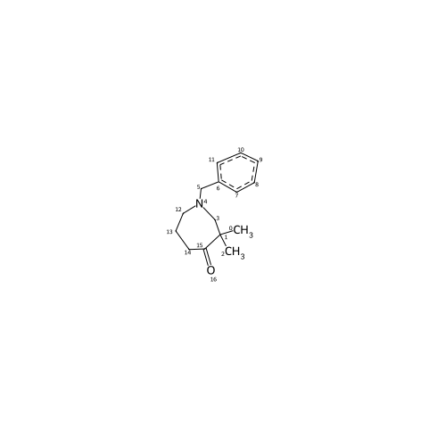 CC1(C)CN(Cc2ccccc2)CCCC1=O